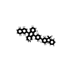 CC1(C)c2ccccc2-c2ccc(-c3ccc(-c4c5ccccc5c(-c5ccc6ccccc6c5)c5ccncc45)cc3)cc21